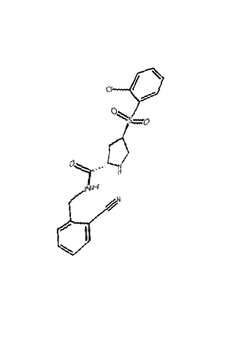 N#Cc1ccccc1CNC(=O)[C@@H]1C[C@@H](S(=O)(=O)c2ccccc2Cl)CN1